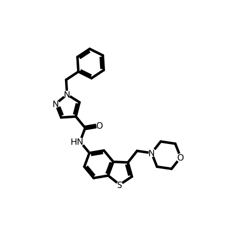 O=C(Nc1ccc2scc(CN3CCOCC3)c2c1)c1cnn(Cc2ccccc2)c1